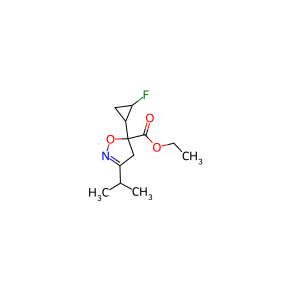 CCOC(=O)C1(C2CC2F)CC(C(C)C)=NO1